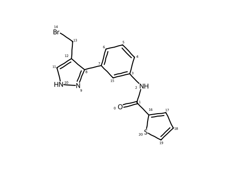 O=C(Nc1cccc(-c2n[nH]cc2CBr)c1)c1cccs1